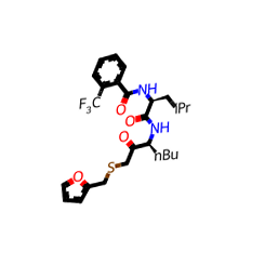 CCCC[C@H](NC(=O)[C@H](CC(C)C)NC(=O)c1ccccc1C(F)(F)F)C(=O)CSCc1ccco1